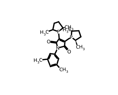 Cc1cc(C)cc(N2C(=O)C(P3C(C)CC[C@H]3C)=C(P3[C@H](C)CC[C@H]3C)C2=O)c1